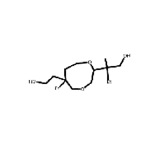 CCC1(CCO)CCOC(C(C)(CC)CO)COC1